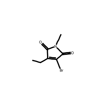 CCC1=C(Br)C(=O)N(C)C1=O